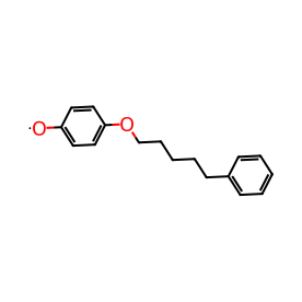 [O]c1ccc(OCCCCCc2ccccc2)cc1